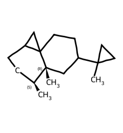 C[C@H]1CCC2CC23CCC(C2(C)CC2)C[C@]13C